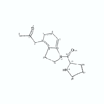 CC(=O)Cc1cccc2c1CCN2C(=O)C1CCCN1